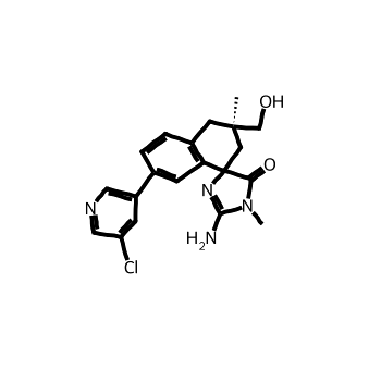 CN1C(=O)C2(C[C@](C)(CO)Cc3ccc(-c4cncc(Cl)c4)cc32)N=C1N